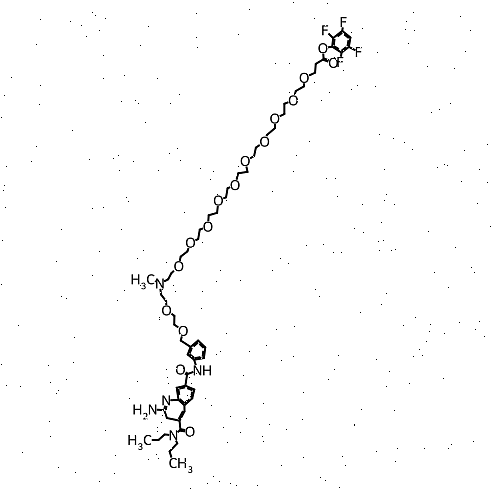 CCCN(CCC)C(=O)C1=Cc2ccc(C(=O)Nc3cccc(COCCOCCN(C)CCOCCOCCOCCOCCOCCOCCOCCOCCOCCOCCC(=O)Oc4c(F)c(F)cc(F)c4F)c3)cc2N=C(N)C1